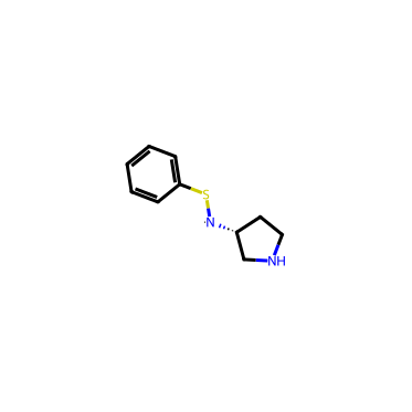 c1ccc(S[N][C@@H]2CCNC2)cc1